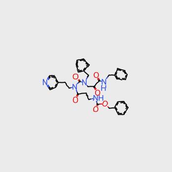 O=C(NCCC(=O)N(CCc1ccncc1)C(=O)N(CC(=O)C(=O)NCc1ccccc1)Cc1ccccc1)OCc1ccccc1